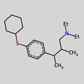 CCN(CC)CC(C)C(C)c1ccc(SC2CCCCC2)cc1